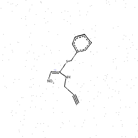 C#CCN/C(=C\[N+](=O)[O-])SCc1ccccc1